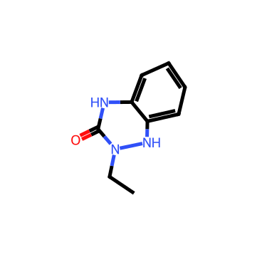 CCN1Nc2ccccc2NC1=O